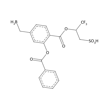 BCc1ccc(C(=O)OC(CS(=O)(=O)O)C(F)(F)F)c(OC(=O)c2ccccc2)c1